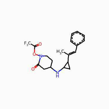 C/C(=C\c1ccccc1)C1CC1NC1CCN(OC(=O)C(F)(F)F)C(=O)C1